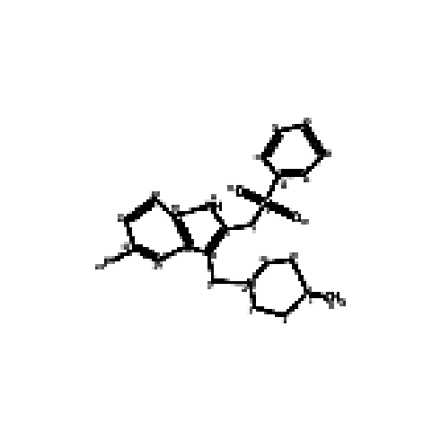 CN1CCN(Cc2c(CS(=O)(=O)c3ccccc3)[nH]c3ccc(F)cc23)CC1